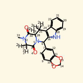 [2H]C1([2H])C(=O)N2C(c3ccc4c(c3)OCO4)c3[nH]c4ccccc4c3C([2H])([2H])[C@]2([2H])C(=O)N1C